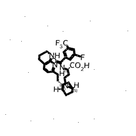 O=C(N[C@@H](CCN1[C@H]2CC[C@@H]1[C@H](CCc1ccc3c(n1)NCCC3)C2)C(=O)O)c1cc(F)cc(C(F)(F)F)c1